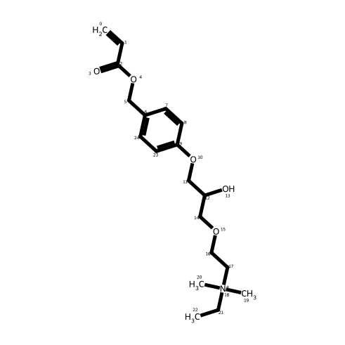 C=CC(=O)OCc1ccc(OCC(O)COCC[N+](C)(C)CC)cc1